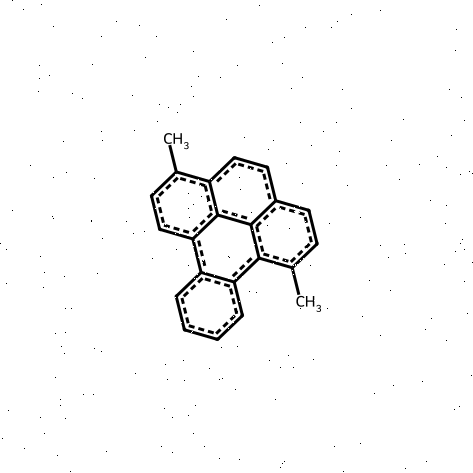 Cc1ccc2c3ccccc3c3c(C)ccc4ccc1c2c43